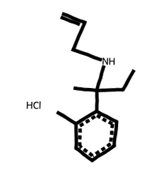 C=CCNC(C)(CC)c1ccccc1C.Cl